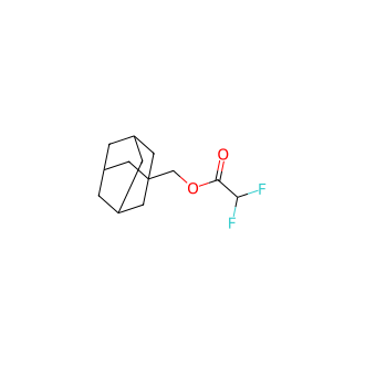 O=C(OCC12CC3CC(CC(C3)C1)C2)C(F)F